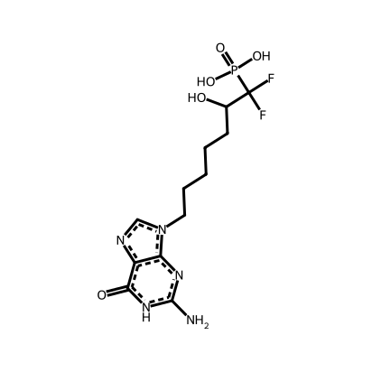 Nc1nc2c(ncn2CCCCCC(O)C(F)(F)P(=O)(O)O)c(=O)[nH]1